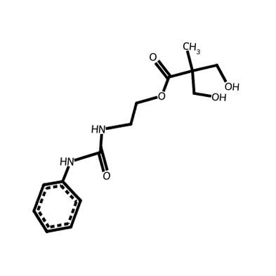 CC(CO)(CO)C(=O)OCCNC(=O)Nc1ccccc1